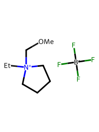 CC[N+]1(COC)CCCC1.F[B-](F)(F)F